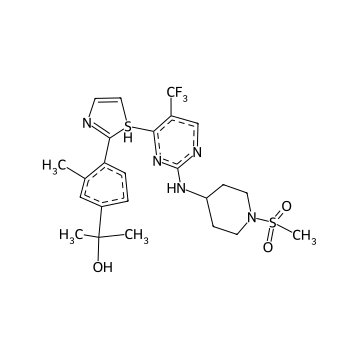 Cc1cc(C(C)(C)O)ccc1C1=NC=C[SH]1c1nc(NC2CCN(S(C)(=O)=O)CC2)ncc1C(F)(F)F